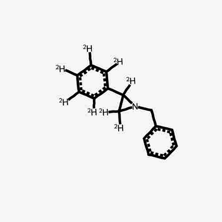 [2H]c1c([2H])c([2H])c(C2([2H])N(Cc3ccccc3)C2([2H])[2H])c([2H])c1[2H]